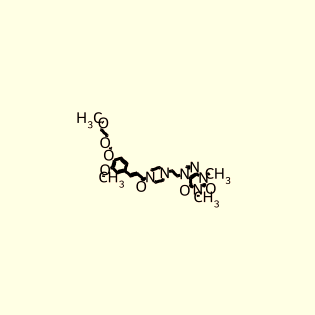 COCCOCOc1ccc(C=CC(=O)N2CCN(CCn3cnc4c3c(=O)n(C)c(=O)n4C)CC2)cc1OC